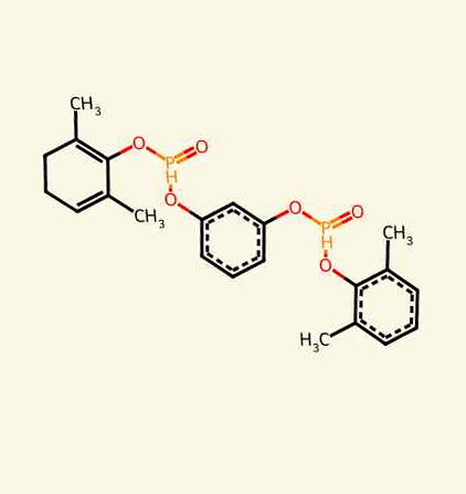 CC1=CCCC(C)=C1O[PH](=O)Oc1cccc(O[PH](=O)Oc2c(C)cccc2C)c1